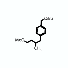 COCCC(C)Cc1ccc(COCC(C)C)cc1